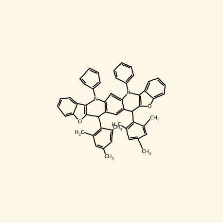 Cc1cc(C)c(C2c3cc4c(cc3N(c3ccccc3)c3c2oc2ccccc32)N(c2ccccc2)c2c(oc3ccccc23)C4c2c(C)cc(C)cc2C)c(C)c1